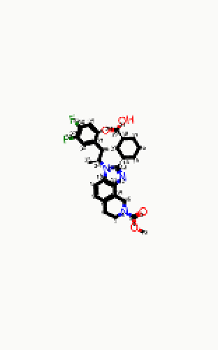 COC(=O)N1CCc2ccc3c(nc([C@H]4CCC[C@H](C(=O)O)C4)n3[C@@H](C)Cc3ccc(F)c(F)c3)c2C1